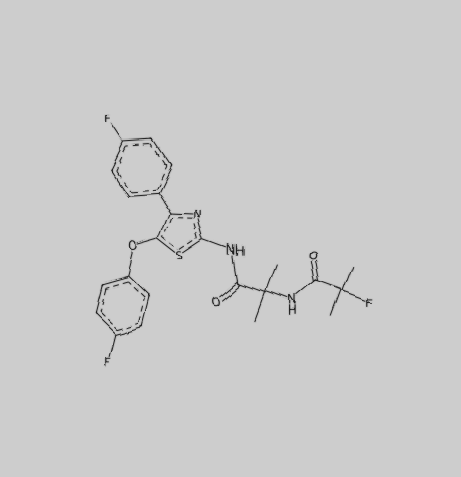 CC(C)(F)C(=O)NC(C)(C)C(=O)Nc1nc(-c2ccc(F)cc2)c(Oc2ccc(F)cc2)s1